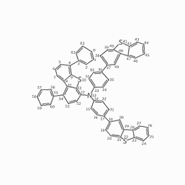 c1ccc(-c2cccc3c2sc2c(N(c4ccc(-c5ccc6sc7ccccc7c6c5)cc4)c4ccc(-c5ccc6sc7ccccc7c6c5)cc4)ccc(-c4ccccc4)c23)cc1